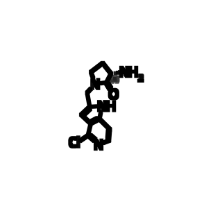 N[C@H]1CCN(Cc2cc3c(Cl)nccc3[nH]2)C1=O